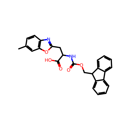 Cc1ccc2nc(CC(NC(=O)OCC3c4ccccc4-c4ccccc43)C(=O)O)oc2c1